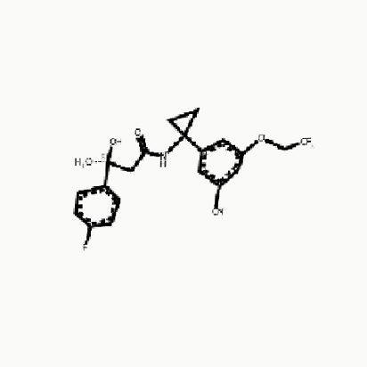 C[C@](O)(CC(=O)NC1(c2cc(C#N)cc(OCC(F)(F)F)c2)CC1)c1ccc(F)cc1